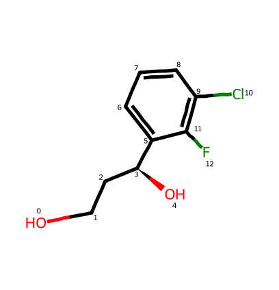 OCC[C@H](O)c1cccc(Cl)c1F